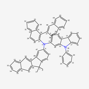 CC1(C)c2ccc(N(c3ccc4c5ccccc5n(-c5ccccc5)c4c3)c3ccc4ccccc4c3-c3ccc4ccccc4c3)cc2-c2cc3ccccc3cc21